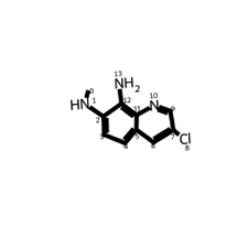 CNc1ccc2cc(Cl)cnc2c1N